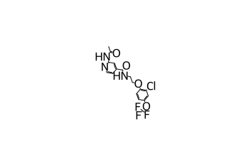 CC(=O)Nc1cc(C(=O)NCCOc2ccc(OC(F)(F)F)cc2Cl)ccn1